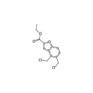 CCOC(=O)c1cc2c(CCl)c(CCl)ccc2o1